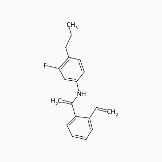 C=Cc1ccccc1C(=C)Nc1ccc(CCC)c(F)c1